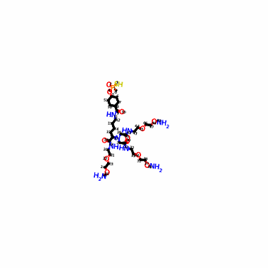 CP(=O)(S)OC1CCC(C(=O)NCCCCC(C(=O)NCCOCCON)N(CC(=O)NCCOCCON)CC(=O)NCCOCCON)CC1